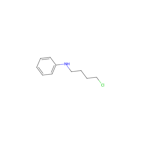 ClCCCCNc1ccccc1